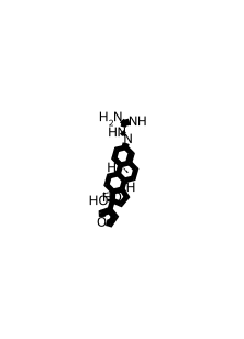 C[C@]12CC[C@H]3[C@@H](CCC4=C/C(=N/NC(=N)N)CC[C@@]43C)[C@@]1(O)CC[C@]2(O)c1ccoc1